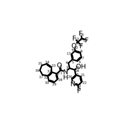 O=C(NC(Cc1cccc(OC(F)(F)C(F)F)c1)C(O)c1ccc(F)nc1)c1cccc2c1C=CCCC2